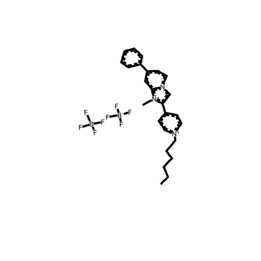 CCCCCC[n+]1ccc(-c2cn3ccc(-c4ccccc4)cc3[n+]2C)cc1.F[B-](F)(F)F.F[B-](F)(F)F